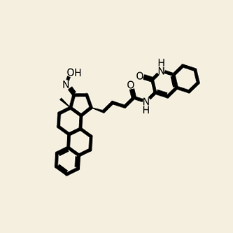 C[C@]12CCC3c4ccccc4CCC3C1[C@H](CCCC(=O)Nc1cc3c([nH]c1=O)CCCC3)C/C2=N\O